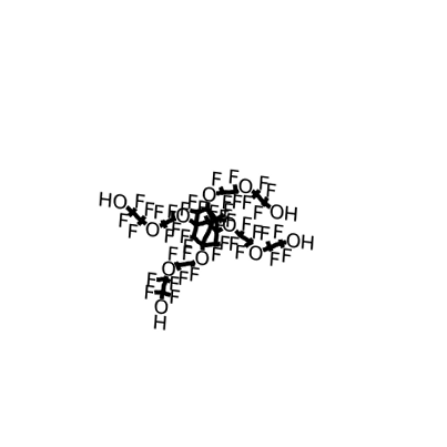 OC(F)(F)C(F)(F)OC(F)(F)C(F)(F)OC12C(F)(F)C3(OC(F)(F)C(F)(F)OC(F)(F)C(O)(F)F)C(F)(F)C(OC(F)(F)C(F)(F)OC(F)(F)C(O)(F)F)(C1(F)F)C(F)(F)C(OC(F)(F)C(F)(F)OC(F)(F)C(O)(F)F)(C2(F)F)C3(F)F